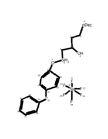 CCCCCCCCCCCCC(O)C[SiH2]Oc1ccc([I+]c2ccccc2)cc1.[F][Sb-]([F])([F])([F])([F])[F]